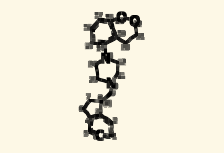 c1ccc2c(c1)CC[C@H]2CN1CCN(c2cccc3c2CCOO3)CC1